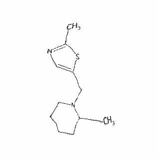 Cc1ncc(CN2CCCCC2C)s1